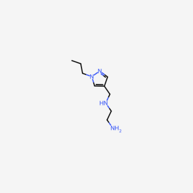 CCCn1cc(CNCCN)cn1